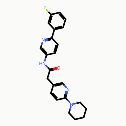 O=C(Cc1ccc(N2CCCCC2)nc1)Nc1ccc(-c2cccc(F)c2)nc1